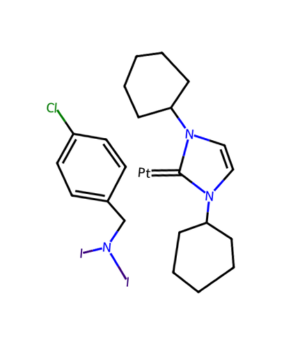 Clc1ccc(CN(I)I)cc1.[Pt]=[c]1n(C2CCCCC2)ccn1C1CCCCC1